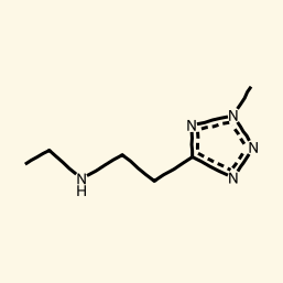 CCNCCc1nnn(C)n1